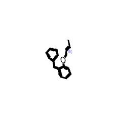 C/C=C/COc1ccccc1Cc1ccccc1